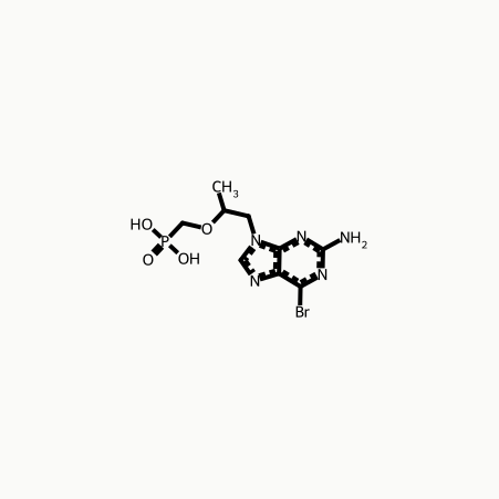 CC(Cn1cnc2c(Br)nc(N)nc21)OCP(=O)(O)O